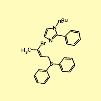 CC(Br)=CCB(c1ccccc1)c1ccccc1.CCCCn1ccnc1-c1ccccc1